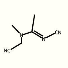 C/C(=N\C#N)N(C)CC#N